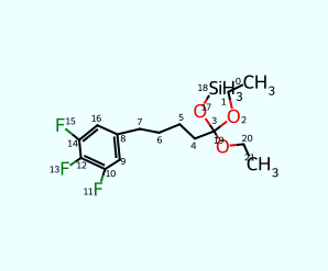 CCOC(CCCCc1cc(F)c(F)c(F)c1)(O[SiH3])OCC